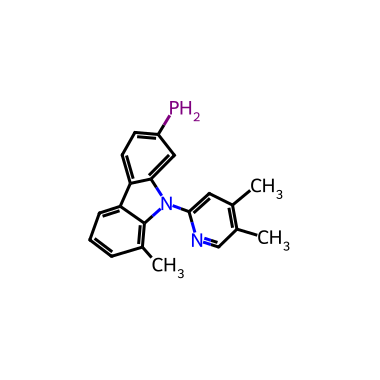 Cc1cnc(-n2c3cc(P)ccc3c3cccc(C)c32)cc1C